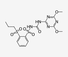 CCCS(=O)(=O)c1ccccc1S(=O)(=O)NC(=O)Nc1nc(OC)nc(OC)n1